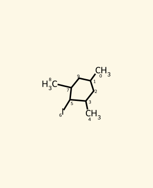 CC1CC(C)C(I)C(C)C1